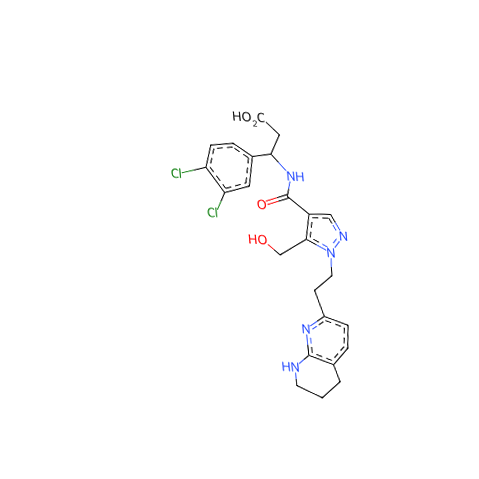 O=C(O)CC(NC(=O)c1cnn(CCc2ccc3c(n2)NCCC3)c1CO)c1ccc(Cl)c(Cl)c1